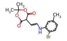 Cc1ccc(Br)c(N/C=C/C2C(=O)OC(C)(C)OC2=O)c1